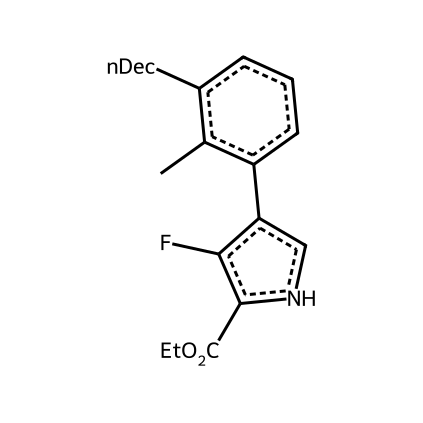 CCCCCCCCCCc1cccc(-c2c[nH]c(C(=O)OCC)c2F)c1C